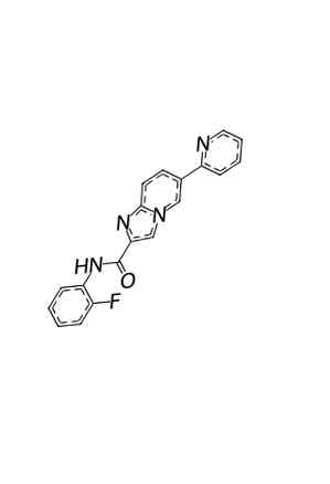 O=C(Nc1ccccc1F)c1cn2cc(-c3ccccn3)ccc2n1